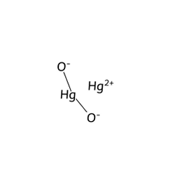 [Hg+2].[O-][Hg][O-]